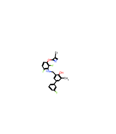 CCC1=CN=C1Oc1ccc(F)c(NCc2cc(-c3cccc(F)c3)cc(C)c2O)c1F